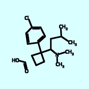 CC(C)CC(N(C)C)C1(c2ccc(Cl)cc2)CCC1.O=CO